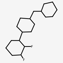 FC1CCCC(C2CCC(CC3CCCCC3)CC2)C1F